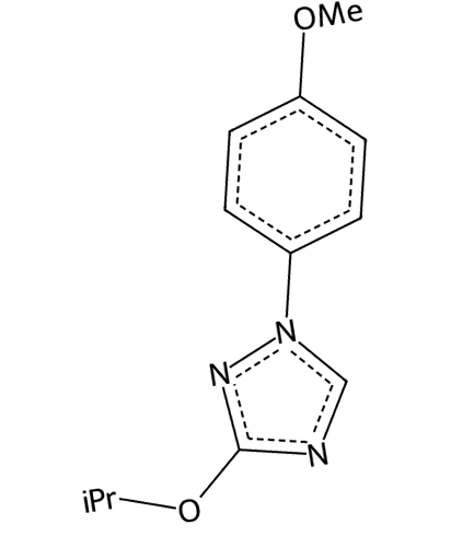 COc1ccc(-n2cnc(OC(C)C)n2)cc1